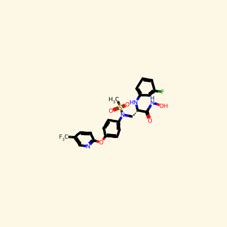 CS(=O)(=O)N(C[C@H](Nc1cccc(F)c1)C(=O)NO)c1ccc(Oc2ccc(C(F)(F)F)cn2)cc1